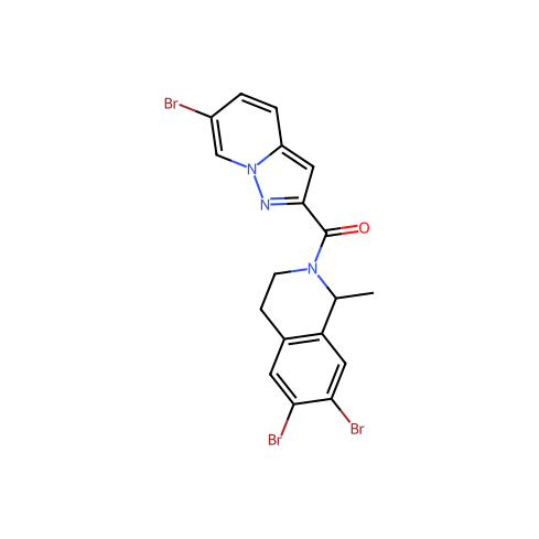 CC1c2cc(Br)c(Br)cc2CCN1C(=O)c1cc2ccc(Br)cn2n1